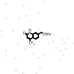 COCc1ccc2c(C(F)(F)F)cc(=O)[nH]c2c1